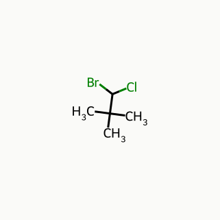 CC(C)(C)C(Cl)Br